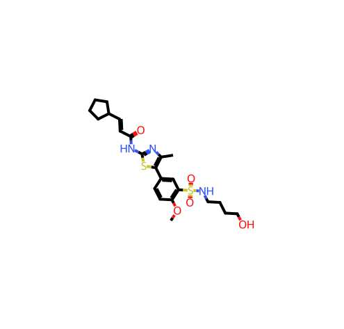 COc1ccc(-c2sc(NC(=O)C=CC3CCCC3)nc2C)cc1S(=O)(=O)NCCCCO